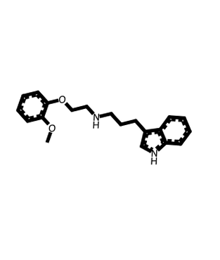 COc1ccccc1OCCNCCCc1c[nH]c2ccccc12